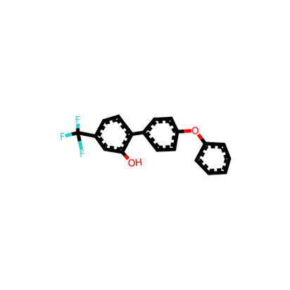 Oc1cc(C(F)(F)F)ccc1-c1ccc(Oc2ccccc2)cc1